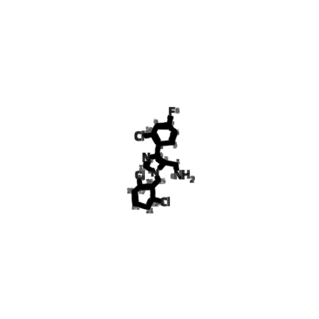 NCc1c(-c2ccc(F)cc2Cl)ncn1Cc1c(Cl)cccc1Cl